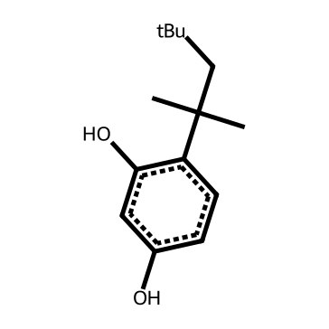 CC(C)(C)CC(C)(C)c1ccc(O)cc1O